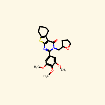 COc1cc(-c2nc3sc4c(c3c(=O)n2CC2CCCO2)CCCC4)cc(OC)c1OC